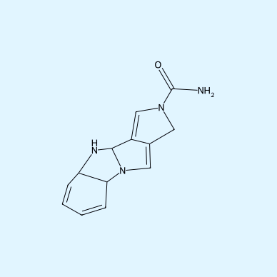 NC(=O)N1C=C2C(=CN3C2NC2C=CC=CC23)C1